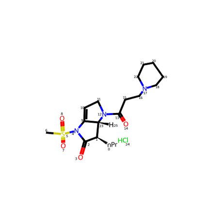 CCC[C@H]1C(=O)N(S(C)(=O)=O)C2=CCN(C(=O)CCN3CCCCC3)[C@@H]21.Cl